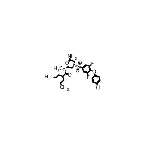 CCCC(CCC)C(=O)N(C)CCN(CC(N)=O)S(=O)(=O)c1cc(F)c(Oc2ccc(Cl)cc2)c(F)c1